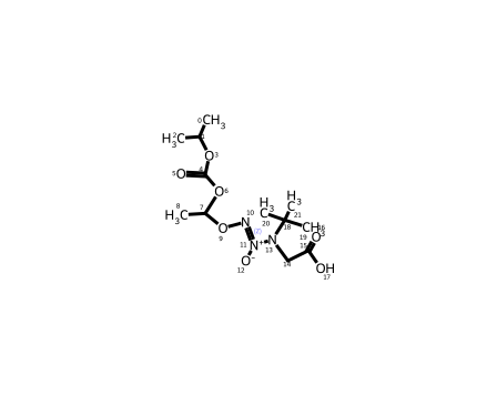 CC(C)OC(=O)OC(C)O/N=[N+](\[O-])N(CC(=O)O)C(C)(C)C